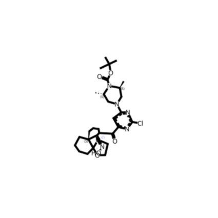 C[C@H]1CN(c2cc(C(=O)C3CCC[C@@]4(CCCCC45OCCO5)/C3=N\O)nc(Cl)n2)C[C@H](C)N1C(=O)OC(C)(C)C